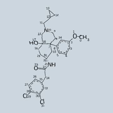 COc1cccc(C23CCN(CC4CC4)CC2(O)CC[C@@H](NC(=O)Cc2ccc(Cl)c(Cl)c2)C3)c1